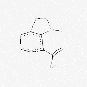 NC(=O)c1cccc2c1N(C(F)(F)F)CC2